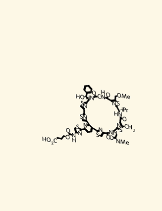 CNC(=O)C[C@@H]1NC(=O)c2csc(n2)-c2ccc(-c3nc(NC(=O)OCCCC(=O)O)cs3)nc2-c2csc(n2)-c2csc(n2)[C@H]([C@@H](O)c2ccccc2)NC(=O)CNC(=O)c2nc(sc2COC)[C@H](C(C)C)NC(=O)c2nc1sc2C